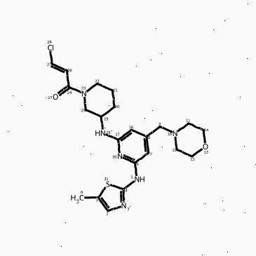 Cc1cnc(Nc2cc(CN3CCOCC3)cc(NC3CCCN(C(=O)/C=C/Cl)C3)n2)s1